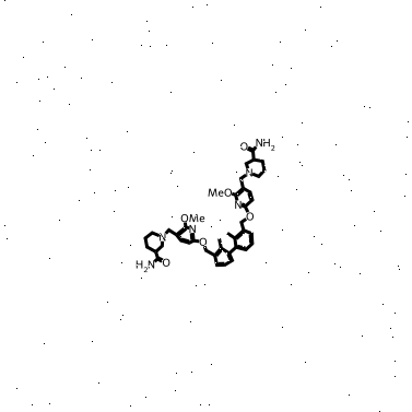 COc1nc(OCc2cccc(-c3cccc(COc4ccc(CN5CCCC(C(N)=O)C5)c(OC)n4)c3C)c2C)ccc1CN1CCCC(C(N)=O)C1